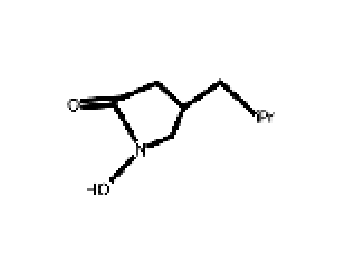 CC(C)CC1CC(=O)N(O)C1